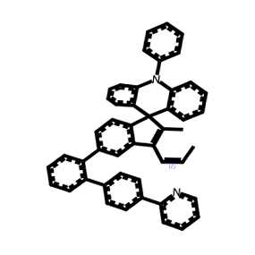 C/C=C\C1=C(C)C2(c3ccc(-c4ccccc4-c4ccc(-c5ccccn5)cc4)cc31)c1ccccc1N(c1ccccc1)c1ccccc12